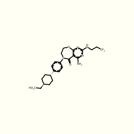 Nc1nc(NCCC(F)(F)F)nc2c1C(=O)N(c1ccc([C@H]3CC[C@H](CC(=O)O)CC3)cc1)CCO2